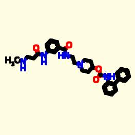 CNCCC(=O)Nc1cccc(C(=O)NCCN2CCC(OC(=O)Nc3ccccc3-c3ccccc3)CC2)c1